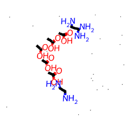 CC(=O)O.CC(=O)O.CC(=O)O.CC(=O)O.CC(=O)O.NCC(N)N.NCCN